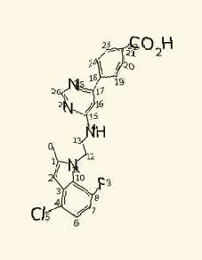 Cc1cc2c(Cl)ccc(F)c2n1CCNc1cc(-c2ccc(C(=O)O)cc2)ncn1